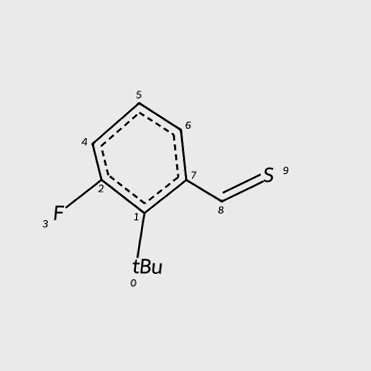 CC(C)(C)c1c(F)cccc1C=S